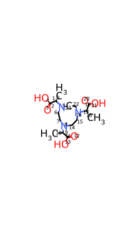 CC(C(=O)O)N1CCN(C(C)C(=O)O)CCN(C(C)C(=O)O)CC1